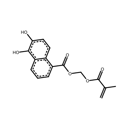 C=C(C)C(=O)OCOC(=O)c1cccc2c(O)c(O)ccc12